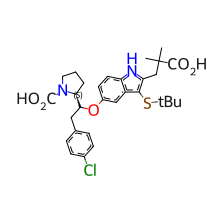 CC(C)(C)Sc1c(CC(C)(C)C(=O)O)[nH]c2ccc(OC(Cc3ccc(Cl)cc3)[C@@H]3CCCN3C(=O)O)cc12